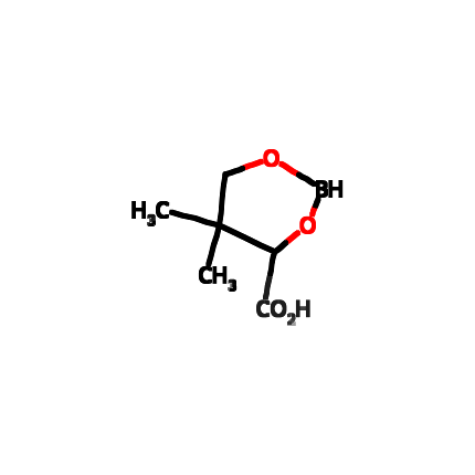 CC1(C)COBOC1C(=O)O